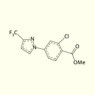 COC(=O)c1ccc(-n2ccc(C(F)(F)F)n2)cc1Cl